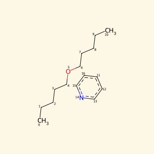 CCCCCOCCCCC.c1ccncc1